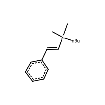 CCCC[Si](C)(C)C=Cc1ccccc1